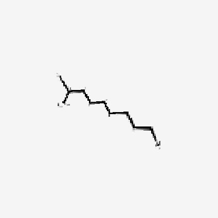 [Al][CH2]CCCCCCC(Cl)Cl